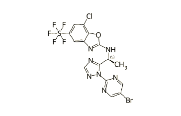 C[C@H](Nc1nc2cc(S(F)(F)(F)(F)F)cc(Cl)c2o1)c1ncnn1-c1ncc(Br)cn1